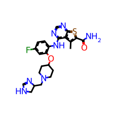 Cc1c(C(N)=O)sc2ncnc(Nc3ccc(F)cc3OC3CCN(CC4CNC=N4)CC3)c12